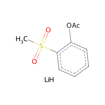 CC(=O)Oc1ccccc1S(C)(=O)=O.[LiH]